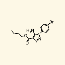 CCCCOC(=O)c1nnn(-c2ccc(Br)cc2)c1N